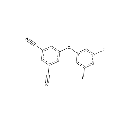 N#Cc1cc(C#N)cc(Oc2cc(F)cc(F)c2)c1